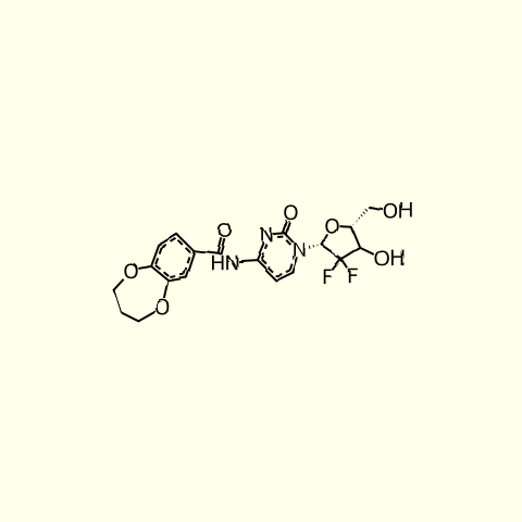 O=C(Nc1ccn([C@@H]2O[C@H](CO)C(O)C2(F)F)c(=O)n1)c1ccc2c(c1)OCCCO2